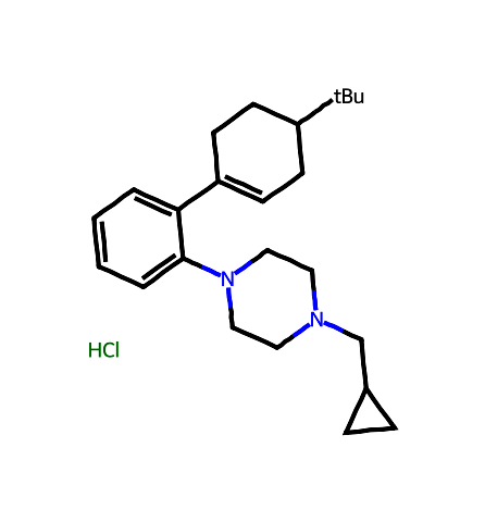 CC(C)(C)C1CC=C(c2ccccc2N2CCN(CC3CC3)CC2)CC1.Cl